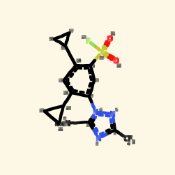 CNc1nc(C(F)(F)F)nn1-c1cc(S(=O)(=O)F)c(C2CC2)cc1C1CC1